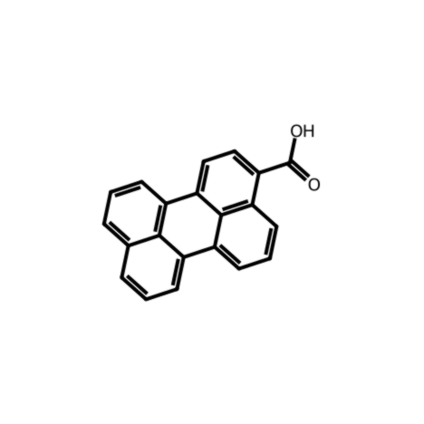 O=C(O)c1ccc2c3cccc4cccc(c5cccc1c52)c43